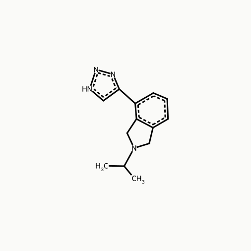 CC(C)N1Cc2cccc(-c3c[nH]nn3)c2C1